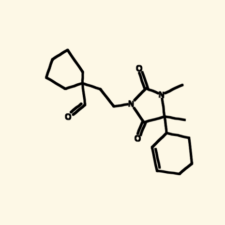 CN1C(=O)N(CCC2(C=O)CCCCC2)C(=O)C1(C)C1C=CCCC1